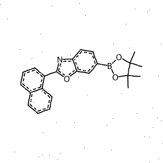 CC1(C)OB(c2ccc3nc(-c4cccc5ccccc45)oc3c2)OC1(C)C